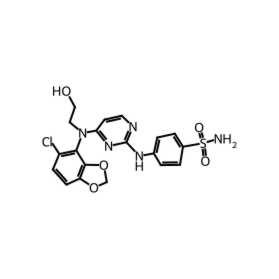 NS(=O)(=O)c1ccc(Nc2nccc(N(CCO)c3c(Cl)ccc4c3OCO4)n2)cc1